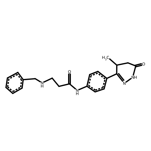 CC1CC(=O)NN=C1c1ccc(NC(=O)CCNCc2ccccc2)cc1